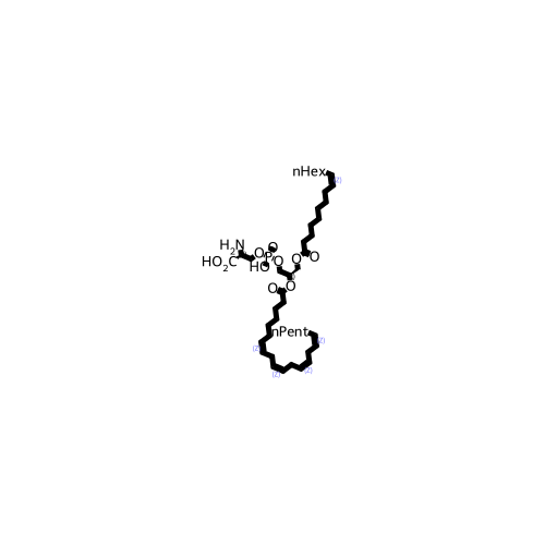 CCCCC/C=C\C/C=C\C/C=C\C/C=C\CCCCCC(=O)O[C@H](COC(=O)CCCCCCC/C=C\CCCCCC)COP(=O)(O)OC[C@H](N)C(=O)O